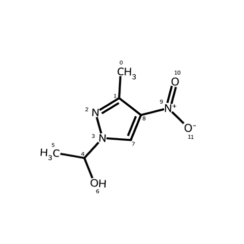 Cc1nn(C(C)O)cc1[N+](=O)[O-]